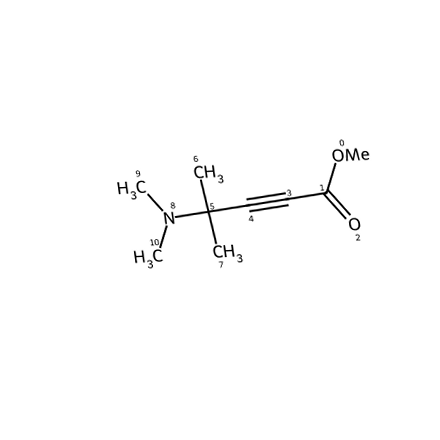 COC(=O)C#CC(C)(C)N(C)C